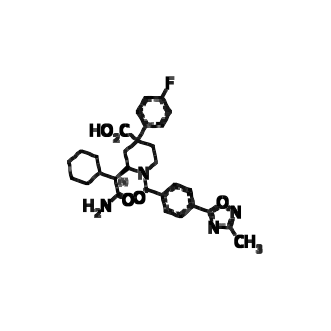 Cc1noc(-c2ccc(C(=O)N3CCC(C(=O)O)(c4ccc(F)cc4)CC3[C@@H](C(N)=O)C3CCCCC3)cc2)n1